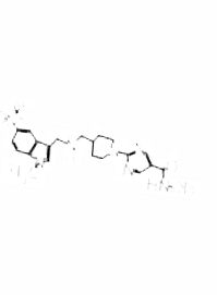 Cn1cc(CNCC2CCN(c3ncc(C(=O)NO)cn3)CC2)c2cc([N+](=O)[O-])ccc21